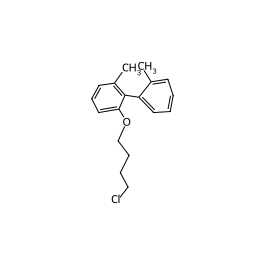 Cc1ccccc1-c1c(C)cccc1OCCCCCl